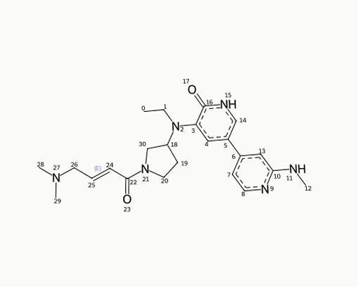 CCN(c1cc(-c2ccnc(NC)c2)c[nH]c1=O)C1CCN(C(=O)/C=C/CN(C)C)C1